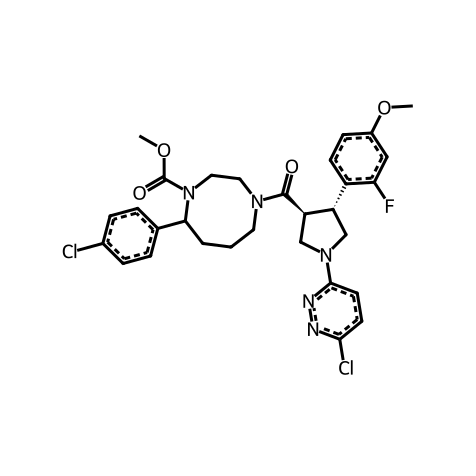 COC(=O)N1CCN(C(=O)[C@@H]2CN(c3ccc(Cl)nn3)C[C@H]2c2ccc(OC)cc2F)CCCC1c1ccc(Cl)cc1